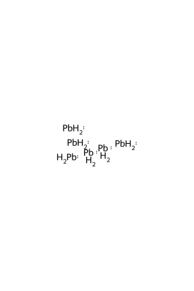 [PbH2].[PbH2].[PbH2].[PbH2].[PbH2].[PbH2]